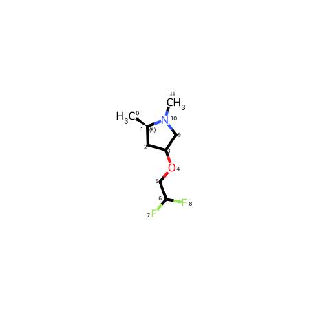 C[C@@H]1CC(OCC(F)F)CN1C